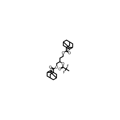 CC(F)(F)C(=O)OC(CCOC(=O)C12CC3CC(C1)C(=O)C(C3)C2)COC(=O)C12CC3CC(C1)C(=O)C(C3)C2